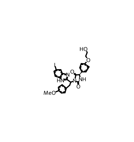 COc1ccc(CC(c2nc3cc(I)ccc3[nH]2)N2C(=O)N[C@H](c3ccc(OCCO)cc3)C2=O)cc1